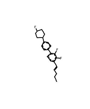 CCCC=Cc1ccc(-c2ccc(C3CCC(F)CC3)cc2)c(F)c1F